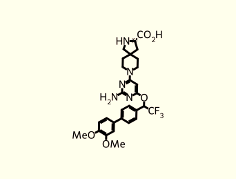 COc1ccc(-c2ccc(C(Oc3cc(N4CCC5(CC4)CN[C@H](C(=O)O)C5)nc(N)n3)C(F)(F)F)cc2)cc1OC